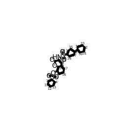 O=c1oc2c(OS(=O)(=O)c3ccccc3)cccc2cc1NS(=O)(=O)c1ccc(-c2ccccc2)cc1